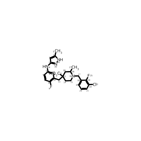 Cc1cc(Nc2ccc(F)c(CC3(C(=O)O)CCN(Cc4cccc(Cl)c4F)C(C)C3)n2)n[nH]1